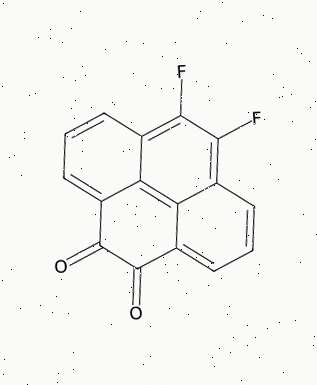 O=c1c(=O)c2cccc3c(F)c(F)c4cccc1c4c32